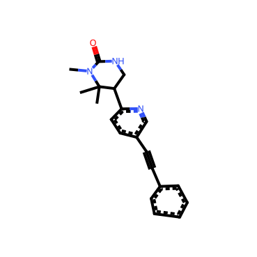 CN1C(=O)NCC(c2ccc(C#Cc3ccccc3)cn2)C1(C)C